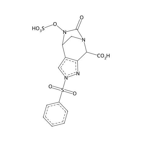 O=C(O)C1c2nn(S(=O)(=O)c3ccccc3)cc2C2CN1C(=O)N2OS(=O)(=O)O